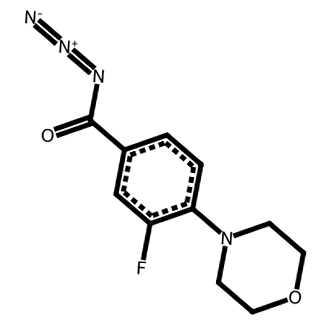 [N-]=[N+]=NC(=O)c1ccc(N2CCOCC2)c(F)c1